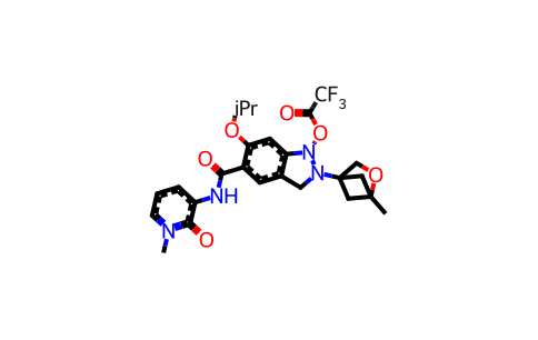 CC(C)Oc1cc2c(cc1C(=O)Nc1cccn(C)c1=O)CN(C13COC(C)(C1)C3)N2OC(=O)C(F)(F)F